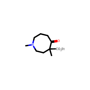 CCOC(=O)C1(C)CCN(C)CCCC1=O